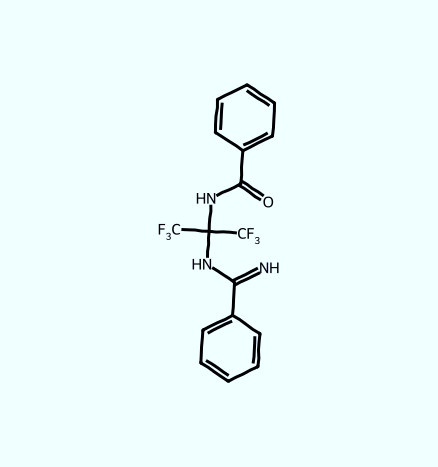 N=C(NC(NC(=O)c1ccccc1)(C(F)(F)F)C(F)(F)F)c1ccccc1